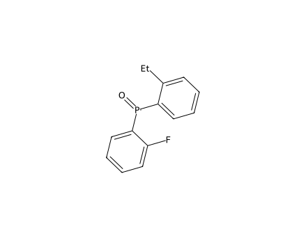 CCc1ccccc1[P](=O)c1ccccc1F